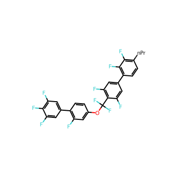 CCCc1ccc(-c2cc(F)c(C(F)(F)Oc3ccc(-c4cc(F)c(F)c(F)c4)c(F)c3)c(F)c2)c(F)c1F